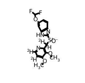 [2H]c1nc(C([2H])([2H])[S+]([O-])c2nc3ccc(OC(F)F)cc3[nH]2)c(OC)c(OC)c1[2H]